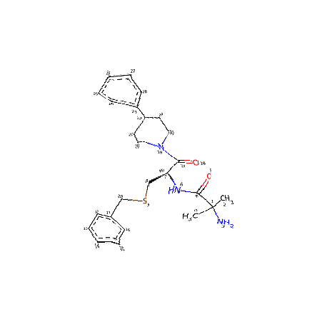 CC(C)(N)C(=O)N[C@@H](CSCc1ccccc1)C(=O)N1CCC(c2ccccc2)CC1